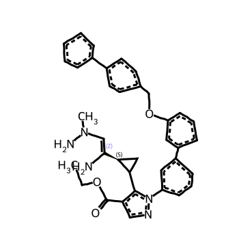 CCOC(=O)c1cnn(-c2cccc(-c3cccc(OCc4ccc(-c5ccccc5)cc4)c3)c2)c1C1C[C@@H]1/C(N)=C/N(C)N